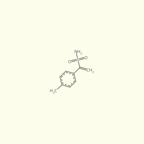 C=C(c1ccc(C)cc1)S(N)(=O)=O